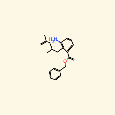 C=C(C)CC(C)Cc1c(N)cccc1C(=C)OCc1ccccc1